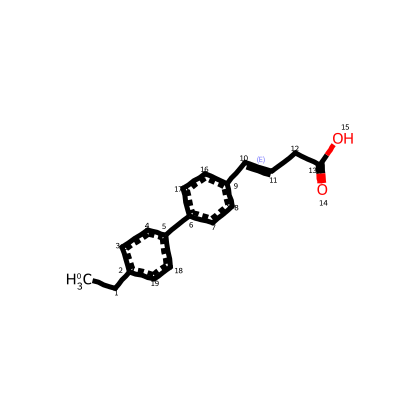 CCc1ccc(-c2ccc(/C=C/CC(=O)O)cc2)cc1